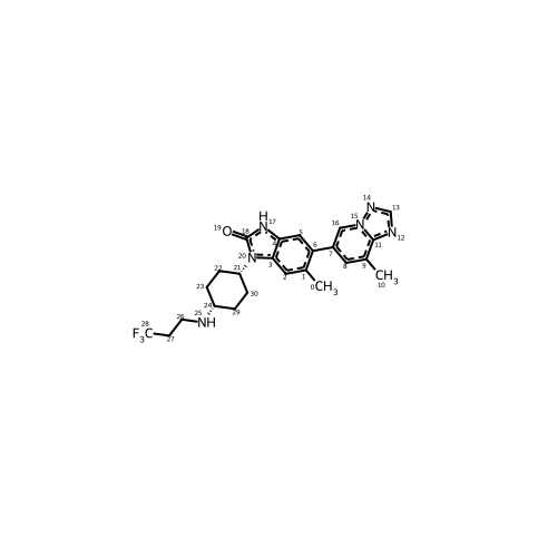 Cc1cc2c(cc1-c1cc(C)c3ncnn3c1)[nH]c(=O)n2[C@H]1CC[C@@H](NCCC(F)(F)F)CC1